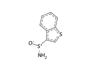 N[S@+]([O-])c1csc2ccccc12